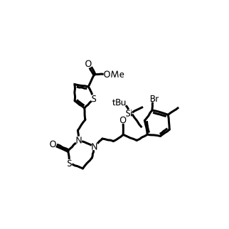 COC(=O)c1ccc(CCN2C(=O)SCCN2CCC(Cc2ccc(C)c(Br)c2)O[Si](C)(C)C(C)(C)C)s1